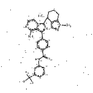 Cn1ncc2c1CCC[C@]2(O)c1nc(-c2ccc(C(=O)Nc3cc(C(F)(F)F)ccn3)cc2)c2c(N)nccn12